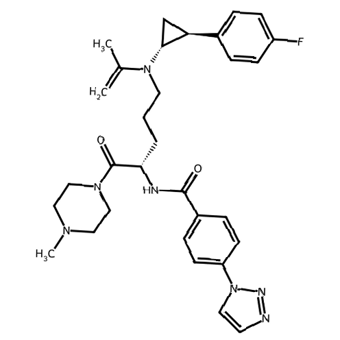 C=C(C)N(CCC[C@H](NC(=O)c1ccc(-n2ccnn2)cc1)C(=O)N1CCN(C)CC1)[C@@H]1C[C@H]1c1ccc(F)cc1